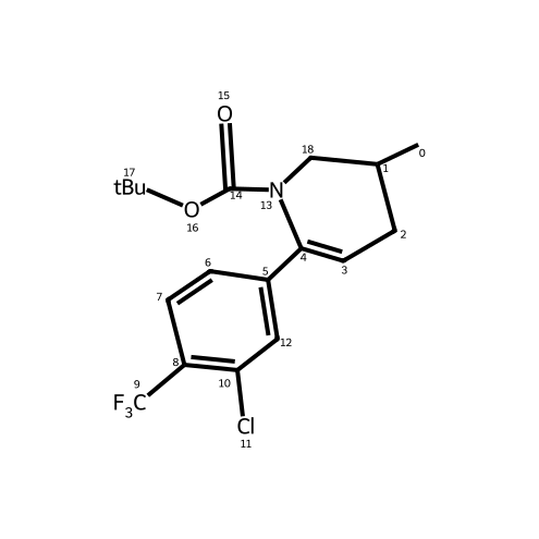 CC1CC=C(c2ccc(C(F)(F)F)c(Cl)c2)N(C(=O)OC(C)(C)C)C1